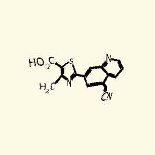 Cc1nc(-c2cc(C#N)c3cccnc3c2)sc1C(=O)O